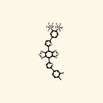 Cc1ccc(-c2ccc(-c3c4c(c(-c5ccc(-c6ccc(S(F)(F)(F)(F)F)c(S(F)(F)(F)(F)F)c6)s5)c5nsnc35)N=S=N4)s2)cc1C